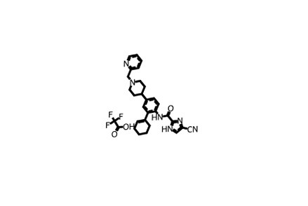 N#Cc1c[nH]c(C(=O)Nc2ccc(C3CCN(Cc4ccccn4)CC3)cc2C2=CCCCC2)n1.O=C(O)C(F)(F)F